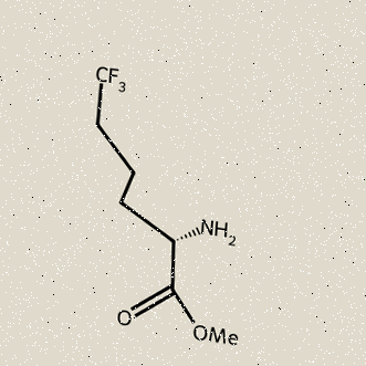 COC(=O)[C@@H](N)CCCC(F)(F)F